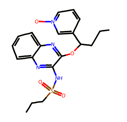 CCCC(Oc1nc2ccccc2nc1NS(=O)(=O)CCC)c1ccc[n+]([O-])c1